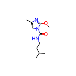 COc1nc(C)cn1C(=O)NCCC(C)C